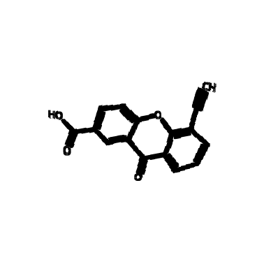 C#Cc1cccc2c(=O)c3cc(C(=O)O)ccc3oc12